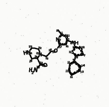 Cc1nc(Nc2ncc(-c3ccccc3)s2)cc(OCCN2CCNCC2C(N)=O)n1